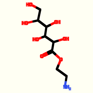 NCCOC(=O)C(O)C(O)C(O)C(O)CO